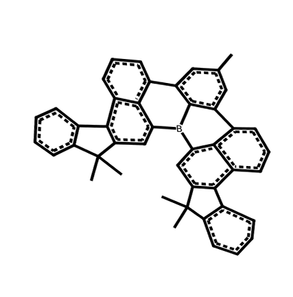 Cc1cc2c3c(c1)-c1cccc4c5c(cc(c14)B3c1cc3c(c4cccc-2c14)-c1ccccc1C3(C)C)C(C)(C)c1ccccc1-5